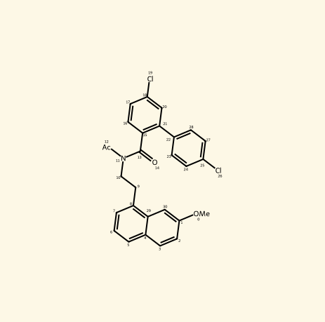 COc1ccc2cccc(CCN(C(C)=O)C(=O)c3ccc(Cl)cc3-c3ccc(Cl)cc3)c2c1